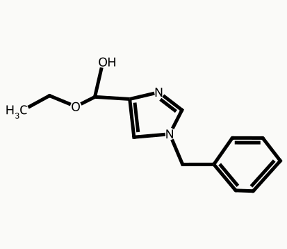 CCOC(O)c1cn(Cc2ccccc2)cn1